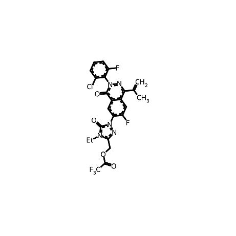 C=C(C)c1nn(-c2c(F)cccc2Cl)c(=O)c2cc(-n3nc(COC(=O)C(F)(F)F)n(CC)c3=O)c(F)cc12